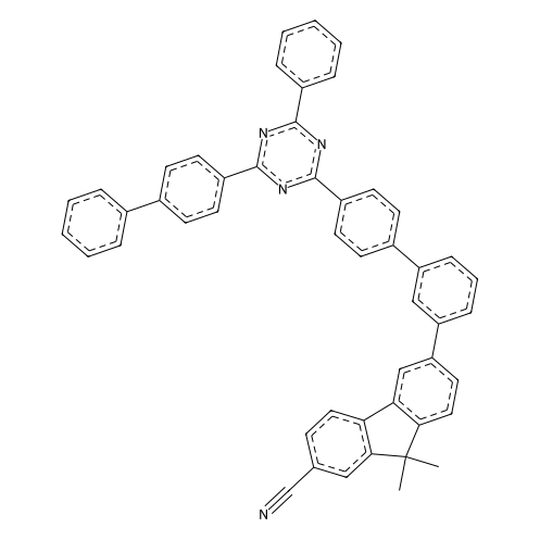 CC1(C)c2ccc(-c3cccc(-c4ccc(-c5nc(-c6ccccc6)nc(-c6ccc(-c7ccccc7)cc6)n5)cc4)c3)cc2-c2ccc(C#N)cc21